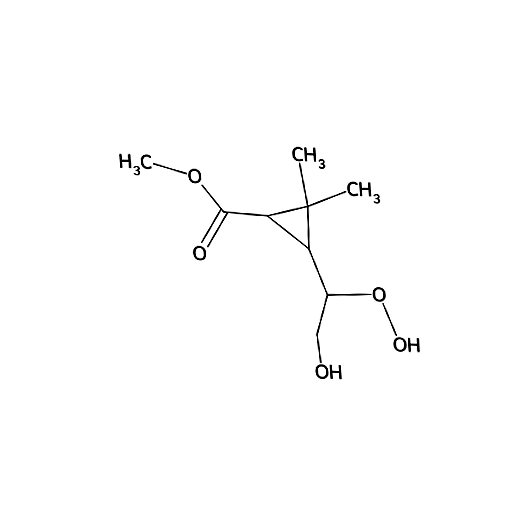 COC(=O)C1C(C(CO)OO)C1(C)C